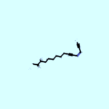 CCCCC#C/C=C\C#CCCCCCCC(O)C(=O)CO